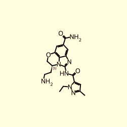 CCn1nc(C)cc1C(=O)Nc1nc2cc(C(N)=O)cc3c2n1[C@@H](CCN)CO3